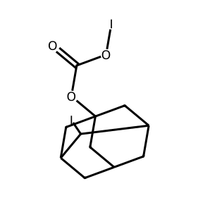 O=C(OI)OC12CC3CC(C1)C(I)C(C3)C2